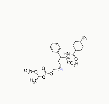 CC(OC(=O)OC/C=C\CC(c1ccccc1)[C@@H](NC(=O)C1CCC(C(C)C)CC1)C(=O)O)O[N+](=O)[O-]